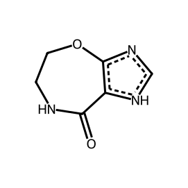 O=C1NCCOc2nc[nH]c21